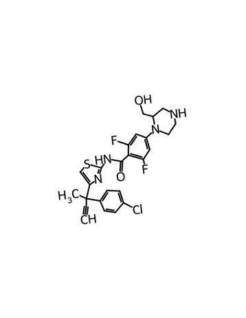 C#CC(C)(c1ccc(Cl)cc1)c1csc(NC(=O)c2c(F)cc(N3CCNCC3CO)cc2F)n1